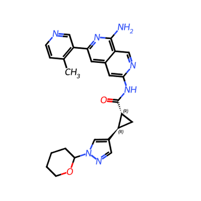 Cc1ccncc1-c1cc2cc(NC(=O)[C@@H]3C[C@H]3c3cnn(C4CCCCO4)c3)ncc2c(N)n1